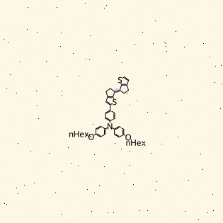 CCCCCCOc1ccc(N(c2ccc(OCCCCCC)cc2)c2ccc(-c3cc4c(s3)/C(=C3\CCc5ccsc53)CC4)cc2)cc1